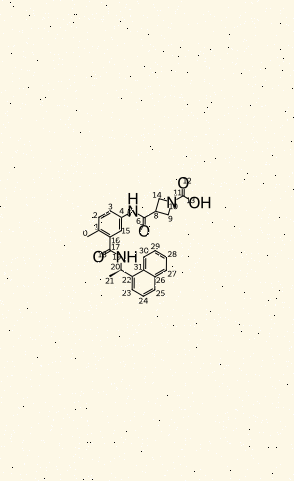 Cc1ccc(NC(=O)C2CN(C(=O)O)C2)cc1C(=O)N[C@H](C)c1cccc2ccccc12